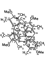 COc1c(C)cc(P(c2cc(C)c(OC)c(C)c2)c2cc3ccc2CCc2ccc(c(P(c4cc(C)c(OC)c(C)c4)c4cc(C)c(OC)c(C)c4)c2)C[C@@H]3CO)cc1C